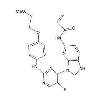 C=CC(=O)Nc1ccc2c(c1)N(c1nc(Nc3ccc(OCCOC)cc3)ncc1F)CN2